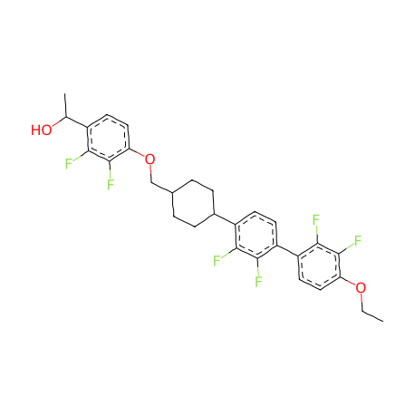 CCOc1ccc(-c2ccc(C3CCC(COc4ccc(C(C)O)c(F)c4F)CC3)c(F)c2F)c(F)c1F